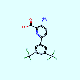 Nc1ccc(-c2cc(C(F)(F)F)cc(C(F)(F)F)c2)nc1C(=O)O